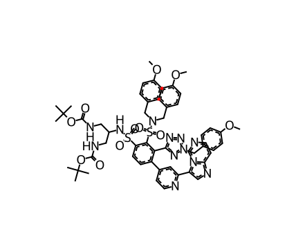 COc1ccc(CN(Cc2ccc(OC)cc2)S(=O)(=O)c2c(S(=O)(=O)NC(CNC(=O)OC(C)(C)C)CNC(=O)OC(C)(C)C)ccc(-c3ccnc(-c4cnc5ccncn45)c3)c2-c2nnn(Cc3ccc(OC)cc3)n2)cc1